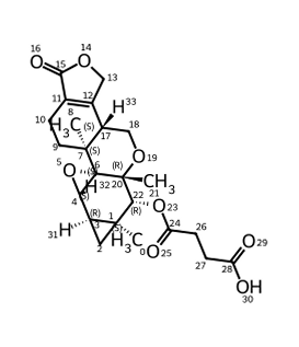 C[C@]12C[C@H]1[C@@H]1O[C@@]13[C@@]1(C)CCC4=C(COC4=O)[C@@H]1CO[C@]3(C)[C@@H]2OC(=O)CCC(=O)O